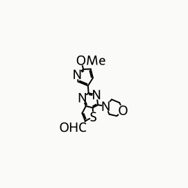 COc1ccc(-c2nc(N3CCOCC3)c3sc(C=O)cc3n2)cn1